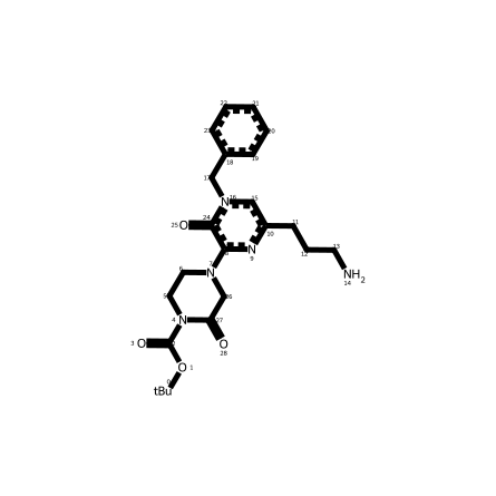 CC(C)(C)OC(=O)N1CCN(c2nc(CCCN)cn(Cc3ccccc3)c2=O)CC1=O